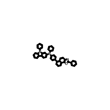 c1ccc(-c2nc3ccc4c(-c5ccc(N(c6ccccc6)c6ccc7c8ccccc8n(-c8ccccc8)c7c6)cc5)cccc4c3o2)cc1